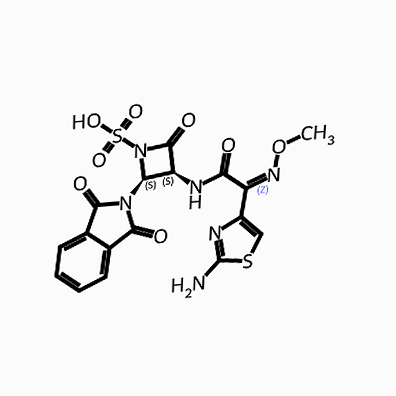 CO/N=C(\C(=O)N[C@@H]1C(=O)N(S(=O)(=O)O)[C@@H]1N1C(=O)c2ccccc2C1=O)c1csc(N)n1